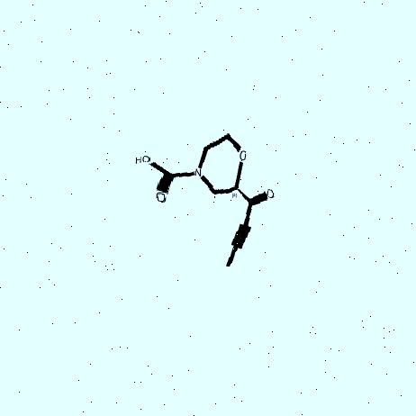 CC#CC(=O)[C@H]1CN(C(=O)O)CCO1